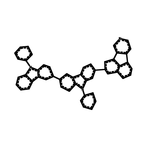 c1ccc(-n2c3ccccc3c3cc(-c4ccc5c(c4)c4ccc(-c6cc7c8c(cccc8c6)-c6ccncc6-7)cc4n5-c4ccccc4)ccc32)cc1